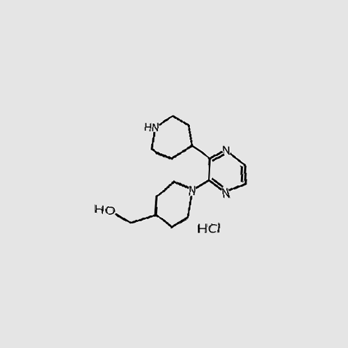 Cl.OCC1CCN(c2nccnc2C2CCNCC2)CC1